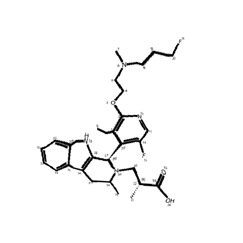 Cc1c(OCCN(C)CCCF)ncc(F)c1[C@@H]1c2[nH]c3ccccc3c2CC(C)N1C[C@@H](C)C(=O)O